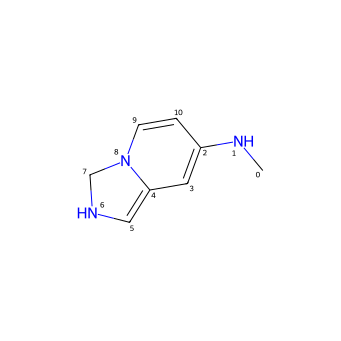 CNC1=CC2=CNCN2C=C1